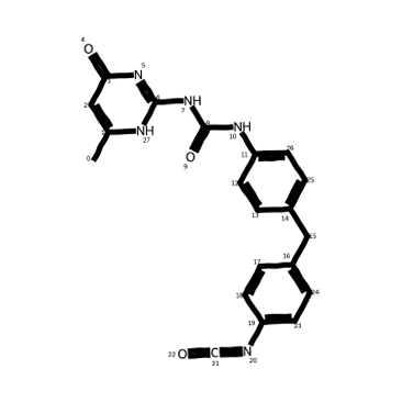 Cc1cc(=O)nc(NC(=O)Nc2ccc(Cc3ccc(N=C=O)cc3)cc2)[nH]1